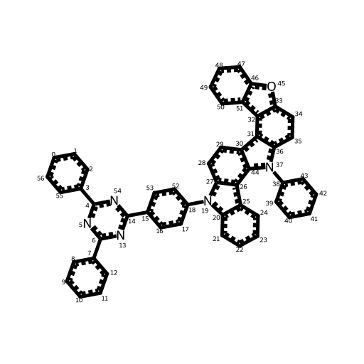 c1ccc(-c2nc(-c3ccccc3)nc(-c3ccc(-n4c5ccccc5c5c4ccc4c6c7c(ccc6n(-c6ccccc6)c45)oc4ccccc47)cc3)n2)cc1